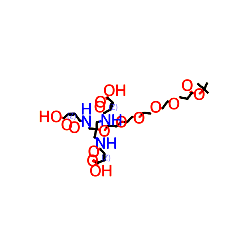 CC(C)(C)OC(=O)CCOCCOCCOCCOCCOC(CNC(=O)/C=C\C(=O)O)(CNC(=O)/C=C\C(=O)O)CNC(=O)/C=C\C(=O)O